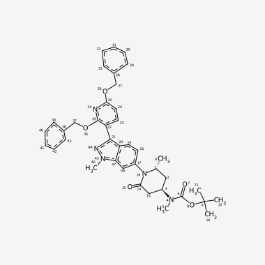 C[C@@H]1C[C@@H](N(C)C(=O)OC(C)(C)C)CC(=O)N1c1ccc2c(-c3ccc(OCc4ccccc4)nc3OCc3ccccc3)nn(C)c2c1